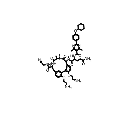 Cc1nc(-c2ccc(OC3CCCCC3)cc2)nc(C)c1C(=O)NC(CCC(N)=O)C(=O)N(C)C1C(=O)NC(C)C(=O)NC(C(=O)NCC#N)Cc2ccc(OCCN)c(c2)-c2cc1ccc2OCCN